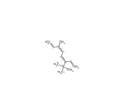 C=C/C(C)=C\C=C(/C=C)C(C)(C)C